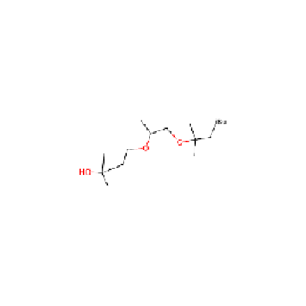 CCC(C)CC(C)(C)OCC(C)OCCC(C)(C)O